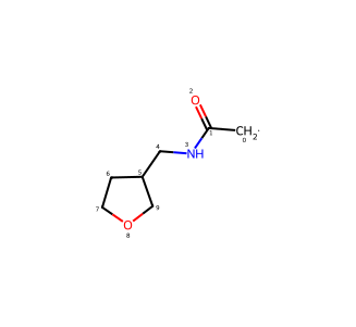 [CH2]C(=O)NCC1CCOC1